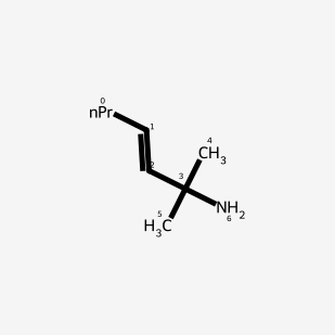 CCCC=CC(C)(C)N